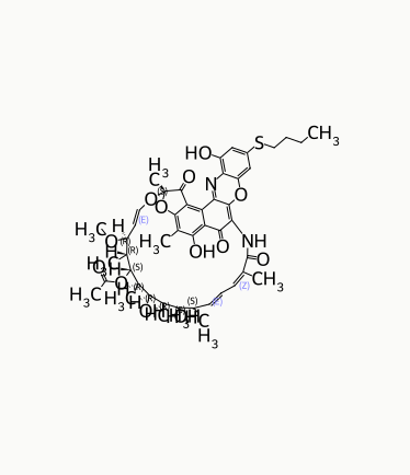 CCCCSc1cc(O)c2nc3c4c5c6c(C)c(O)c4c(=O)c(c-3oc2c1)NC(=O)/C(C)=C\C=C\[C@H](C)[C@H](O)[C@@H](C)[C@@H](O)[C@@H](C)[C@H](OC(C)=O)[C@H](C)[C@@H](OC)/C=C/O[C@@](C)(O6)C5=O